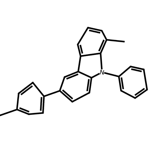 Cc1ccc(-c2ccc3c(c2)c2cccc(C)c2n3-c2ccccc2)cc1